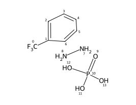 FC(F)(F)c1ccccc1.NN.O=P(O)(O)O